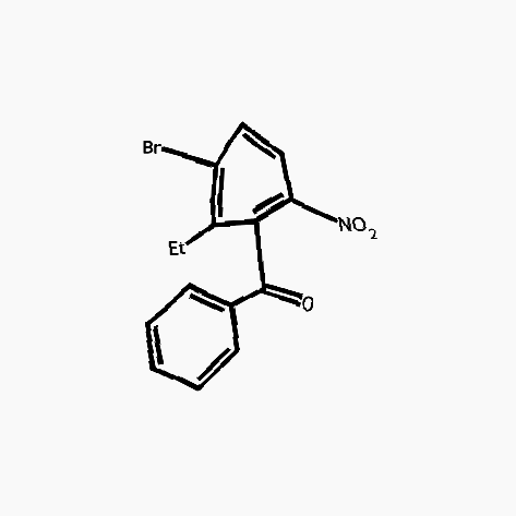 CCc1c(Br)ccc([N+](=O)[O-])c1C(=O)c1ccccc1